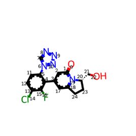 O=c1cc(-c2c(-n3cnnn3)ccc(Cl)c2F)cc2n1[C@H](CO)CC2